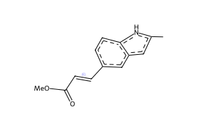 COC(=O)/C=C/c1ccc2[nH]c(C)cc2c1